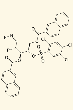 O=C(OC[C@@H](OS(=O)(=O)c1cc(Cl)c(Cl)cc1Cl)[C@@H](OC(=O)c1ccc2ccccc2c1)[C@H](F)/C=N\I)c1ccc2ccccc2c1